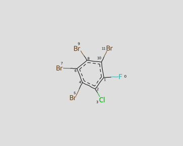 Fc1c(Cl)c(Br)c(Br)c(Br)c1Br